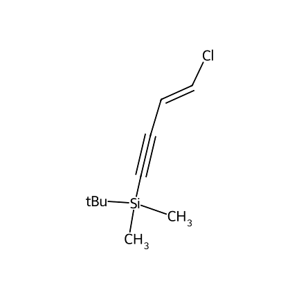 CC(C)(C)[Si](C)(C)C#CC=CCl